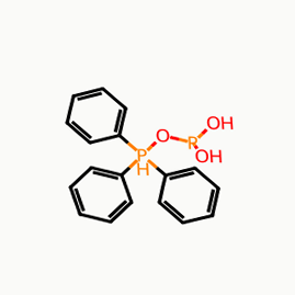 OP(O)O[PH](c1ccccc1)(c1ccccc1)c1ccccc1